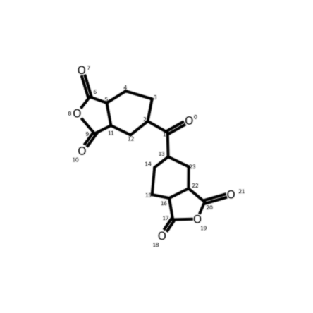 O=C(C1CCC2C(=O)OC(=O)C2C1)C1CCC2C(=O)OC(=O)C2C1